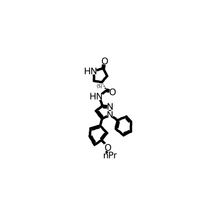 CCCOc1cccc(-c2cc(NC(=O)[C@@H]3CNC(=O)C3)nn2-c2ccccc2)c1